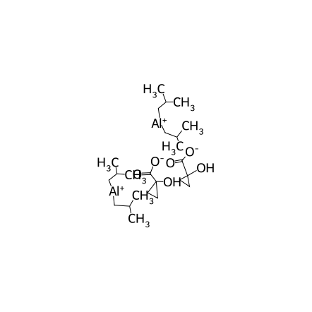 CC(C)[CH2][Al+][CH2]C(C)C.CC(C)[CH2][Al+][CH2]C(C)C.O=C([O-])C1(O)CC1.O=C([O-])C1(O)CC1